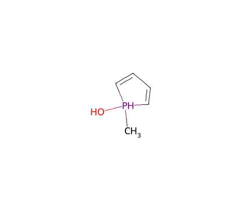 C[PH]1(O)C=CC=C1